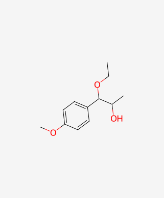 CCOC(c1ccc(OC)cc1)C(C)O